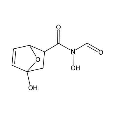 O=CN(O)C(=O)C1CC2(O)C=CC1O2